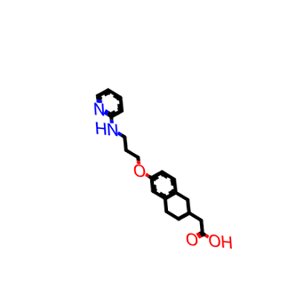 O=C(O)CC1CCc2cc(OCCCNc3ccccn3)ccc2C1